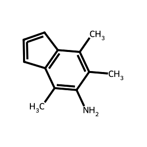 Cc1c(C)c2c(c(C)c1N)C=C=C2